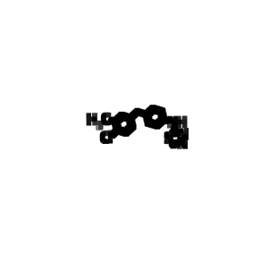 Cc1cc(Cc2ccc(Nc3nncs3)cc2)ccc1Cl